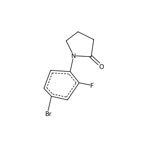 O=C1CCCN1c1ccc(Br)cc1F